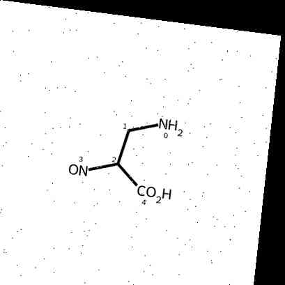 NCC(N=O)C(=O)O